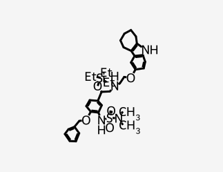 CC[Si](CC)(CC)OC(CNCCOc1ccc2[nH]c3c(c2c1)CCCCC3)c1ccc(OCc2ccccc2)c(NS(=O)(=O)N(C)C)c1